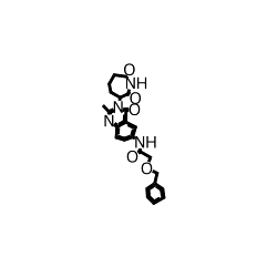 Cc1nc2ccc(NC(=O)COCc3ccccc3)cc2c(=O)n1C1CCCC(=O)NC1=O